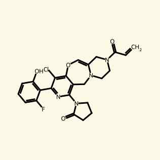 C=CC(=O)N1CCN2Cc3c(N4CCCC4=O)nc(-c4c(O)cccc4F)c(Cl)c3OC=C2C1